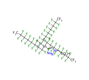 O=C(O)Cn1c[c]([Sn]([C](F)(F)C(F)(F)C(F)(F)C(F)(F)C(F)(F)C(F)(F)C(F)(F)C(F)(F)F)([C](F)(F)C(F)(F)C(F)(F)C(F)(F)C(F)(F)C(F)(F)C(F)(F)C(F)(F)F)[C](F)(F)C(F)(F)C(F)(F)C(F)(F)C(F)(F)C(F)(F)C(F)(F)C(F)(F)F)nn1